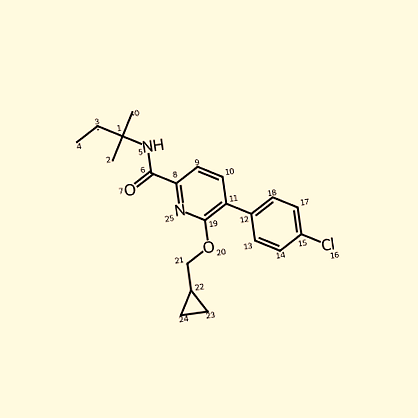 [CH2]C(C)([CH]C)NC(=O)c1ccc(-c2ccc(Cl)cc2)c(OCC2CC2)n1